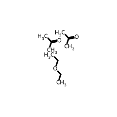 CC(C)=O.CC(C)=O.CCOCC